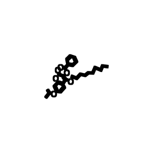 CCCCCCCCCCOc1c(OC(=O)c2ccccc2)c(=O)oc2cc(OC(C)C)ccc12